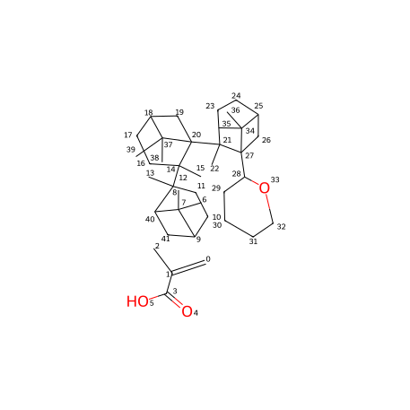 C=C(C)C(=O)O.CC1(C)C2CCC(C)(C3(C)CCC4CC3(C3(C)CCC5CC3(C3CCCCO3)C5(C)C)C4(C)C)C1C2